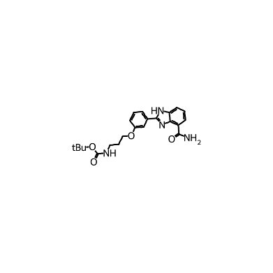 CC(C)(C)OC(=O)NCCCOc1cccc(-c2nc3c(C(N)=O)cccc3[nH]2)c1